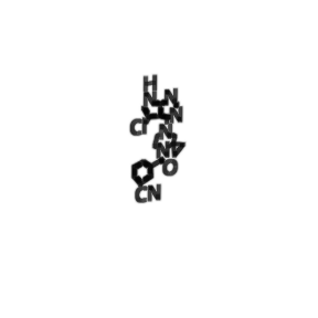 N#Cc1cccc(C(=O)N2CCN(c3ncnc4[nH]cc(Cl)c34)CC23CC3)c1